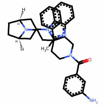 Cc1nc2ccccc2n1C1C[C@H]2CC[C@@H](C1)N2CCC1(c2ccccc2)CCN(C(=O)c2cccc(N)c2)CC1